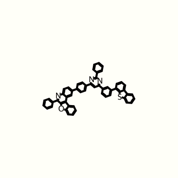 c1ccc(-c2nc(-c3ccc(-c4ccc5nc(-c6ccccc6)c6oc7ccccc7c6c5c4)cc3)cc(-c3cccc(-c4cccc5c4sc4ccccc45)c3)n2)cc1